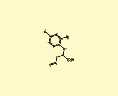 C=CCC(Oc1ccc(Cl)cc1Br)C(=O)OCC